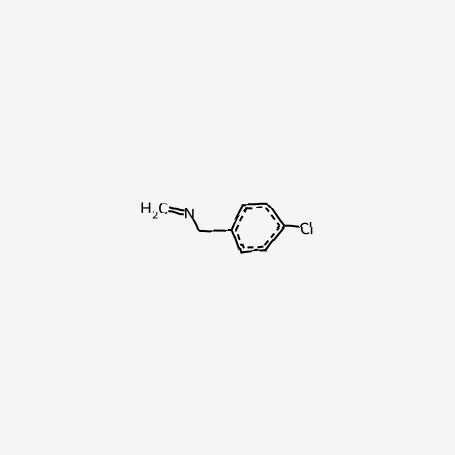 C=NCc1ccc(Cl)cc1